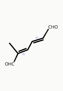 C/C(C=O)=C\C=C\C=O